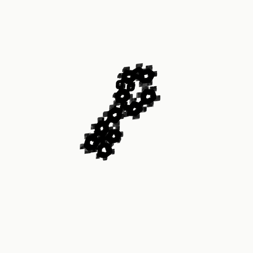 C1=CCC(C2(c3ccccc3)c3ccccc3-c3ccc(-c4ccc(N(c5cccc(-c6ccccc6)c5)c5ccc6c(c5)Oc5c(ccc7c5-c5ccccc5C7)O6)cc4)cc32)C=C1